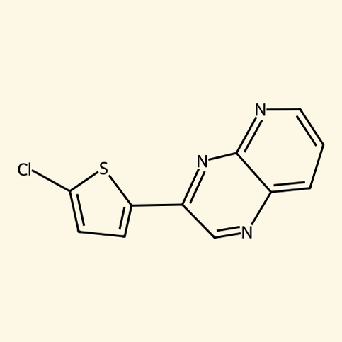 Clc1ccc(-c2cnc3cccnc3n2)s1